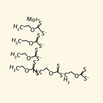 CCOC(=S)[S-].CCOC(=S)[S-].CCOC(=S)[S-].CCOC(=S)[S-].CCOC(=S)[S-].CCOC(=S)[S-].[Mo+6]